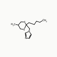 CCCCCC1(Cn2ccnc2)SCC(C)CS1